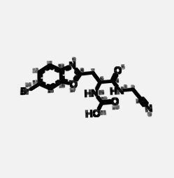 N#CCNC(=O)C(Cc1nc2ccc(Br)cc2o1)NC(=O)O